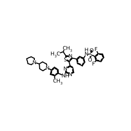 Cc1cc(N2CCC(N3CCCCC3)CC2)ccc1Nc1nccc(-c2sc(C(C)C)nc2-c2cccc(NS(=O)(=O)c3c(F)cccc3F)c2)n1